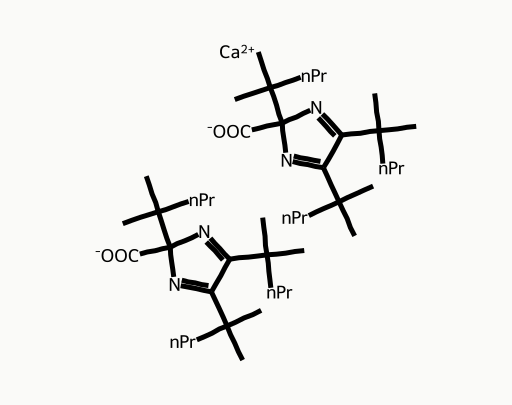 CCCC(C)(C)C1=NC(C(=O)[O-])(C(C)(C)CCC)N=C1C(C)(C)CCC.CCCC(C)(C)C1=NC(C(=O)[O-])(C(C)(C)CCC)N=C1C(C)(C)CCC.[Ca+2]